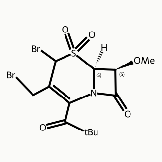 CO[C@H]1C(=O)N2C(C(=O)C(C)(C)C)=C(CBr)C(Br)S(=O)(=O)[C@@H]12